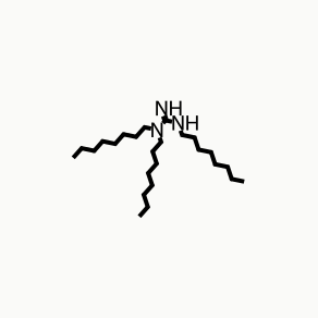 CCCCCCCCNC(=N)N(CCCCCCCC)CCCCCCCC